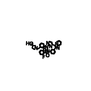 O=C(Nc1cccc(-c2nc3ccccn3c2-c2ccnc(Nc3cccc(CN4CCC(O)C4)c3)n2)c1)c1c(F)cccc1F